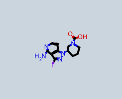 Nc1nccc2c1c(I)nn2[C@@H]1CCCN(C(=O)O)C1